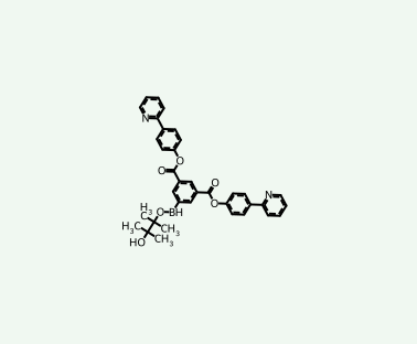 CC(C)(O)C(C)(C)OBc1cc(C(=O)Oc2ccc(-c3ccccn3)cc2)cc(C(=O)Oc2ccc(-c3ccccn3)cc2)c1